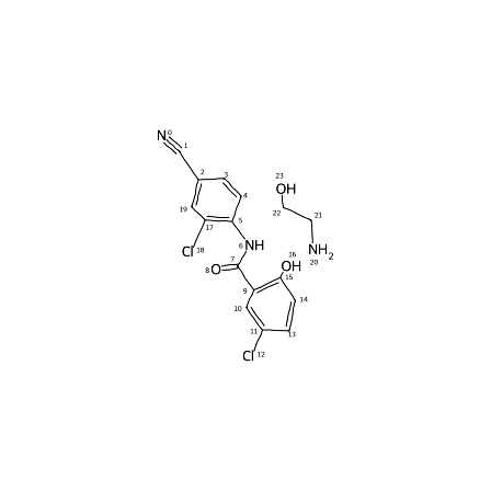 N#Cc1ccc(NC(=O)c2cc(Cl)ccc2O)c(Cl)c1.NCCO